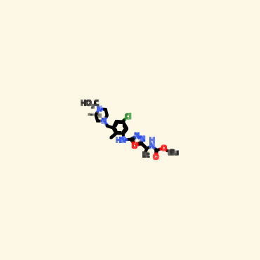 CCC(NC(=O)OC(C)(C)C)c1nnc(Nc2cc(Cl)cc(CN3CCN(C(=O)O)[C@@H](C)C3)c2C)o1